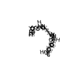 O=C(Cc1cccc(OC(F)(F)F)c1)Nc1ccc(CCCCc2nnc(NC(=O)Cc3ccc(C4CCN(C(=O)O)CC4)cc3)s2)cn1